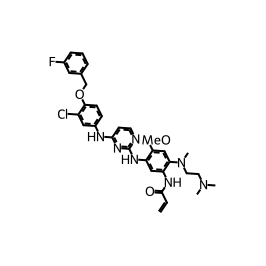 C=CC(=O)Nc1cc(Nc2nccc(Nc3ccc(OCc4cccc(F)c4)c(Cl)c3)n2)c(OC)cc1N(C)CCN(C)C